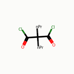 CCCC(CCC)(C(=O)Cl)C(=O)Cl